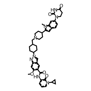 COc1cc2nn(C3CCC(CN4CCC(c5cc6ccc(N7CCC(=O)NC7=O)cc6n5C)CC4)CC3)cc2cc1C(=O)Nc1cccn(C2CC2)c1=O